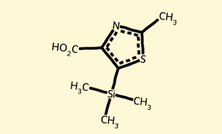 Cc1nc(C(=O)O)c([Si](C)(C)C)s1